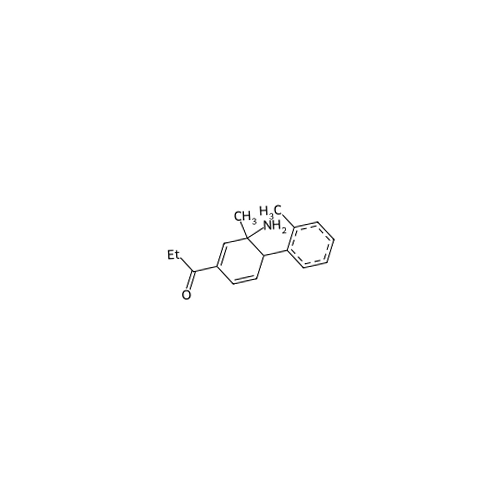 CCC(=O)C1=CC(C)(N)C(c2ccccc2C)C=C1